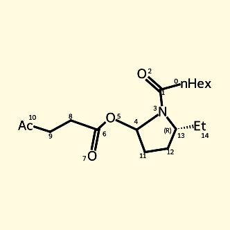 CCCCCCC(=O)N1C(OC(=O)CCC(C)=O)CC[C@H]1CC